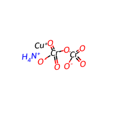 [Cu+].[NH4+].[O]=[Cr](=[O])([O-])[O][Cr](=[O])(=[O])[O-]